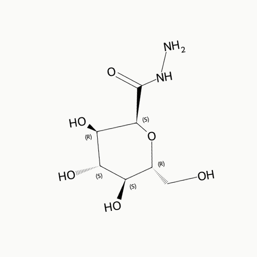 NNC(=O)[C@H]1O[C@H](CO)[C@@H](O)[C@H](O)[C@H]1O